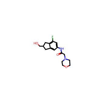 O=C(CN1CCOCC1)Nc1cc(F)c2c(c1)CC(CO)C2